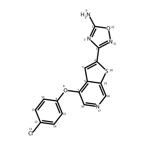 Nc1nc(-c2cc3c(Oc4ccc(Cl)cc4)cncc3s2)no1